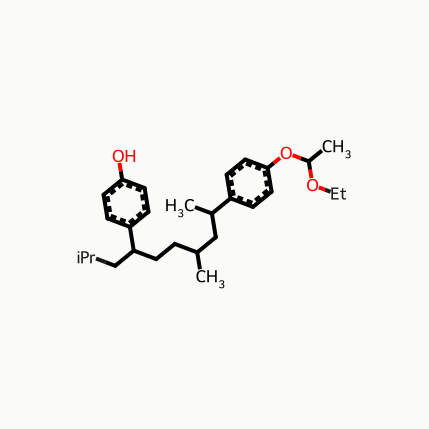 CCOC(C)Oc1ccc(C(C)CC(C)CCC(CC(C)C)c2ccc(O)cc2)cc1